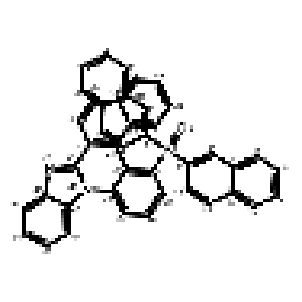 O=P(c1ccc2ccccc2c1)(c1ccc2ccccc2c1)c1cccc2c1c1c3ccccc3ccc1c1nc3ccccc3n21